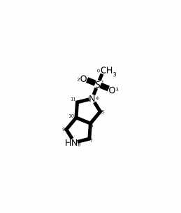 CS(=O)(=O)N1CC2CNCC2C1